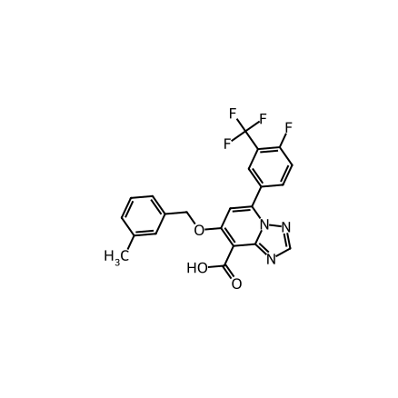 Cc1cccc(COc2cc(-c3ccc(F)c(C(F)(F)F)c3)n3ncnc3c2C(=O)O)c1